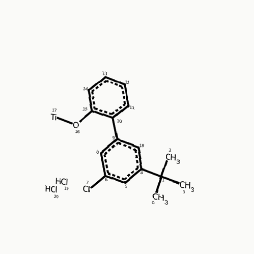 CC(C)(C)c1cc(Cl)cc(-c2ccccc2[O][Ti])c1.Cl.Cl